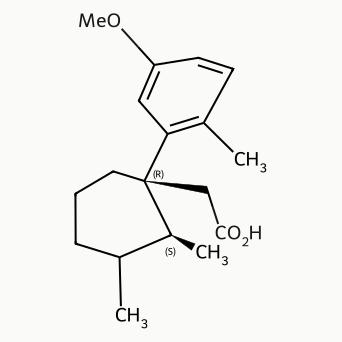 COc1ccc(C)c([C@@]2(CC(=O)O)CCCC(C)[C@@H]2C)c1